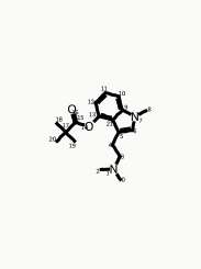 CN(C)CCc1cn(C)c2cccc(OC(=O)C(C)(C)C)c12